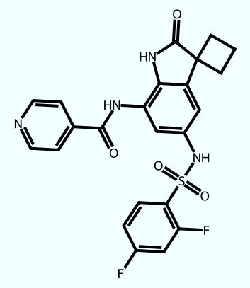 O=C(Nc1cc(NS(=O)(=O)c2ccc(F)cc2F)cc2c1NC(=O)C21CCC1)c1ccncc1